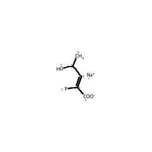 CC(O)C=C(F)C(=O)[O-].[Na+]